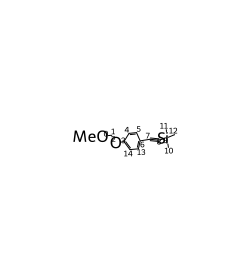 COCOc1ccc(C#C[Si](C)(C)C)cc1